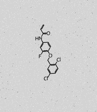 C=CC(=O)Nc1ccc(OCc2cc(Cl)ccc2Cl)c(F)c1